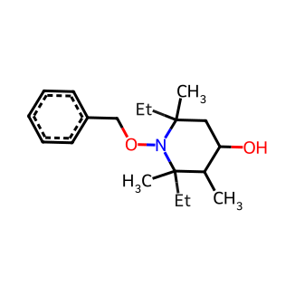 CCC1(C)CC(O)C(C)C(C)(CC)N1OCc1ccccc1